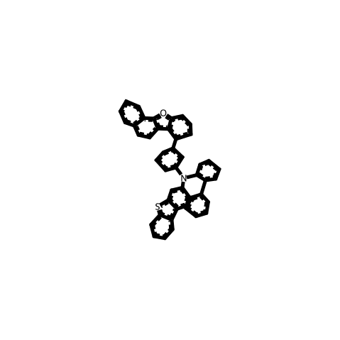 c1ccc(-c2ccccc2N(c2cccc(-c3cccc4oc5c6ccccc6ccc5c34)c2)c2ccc3c(c2)sc2ccccc23)cc1